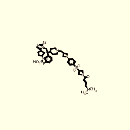 CCc1nccn1CC(c1cccc(F)c1)(C1CCN(CC2CN(c3ccc(S(=O)(=O)C4CN(C(=O)/C=C/CN(C)C)C4)cc3)C2)CC1)[C@H]1CCC[C@@H]1NC(=O)O